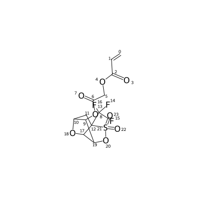 C=CC(=O)OCC(=O)OC1C2CC3(C(F)(F)F)C(O2)C1OS3(=O)=O